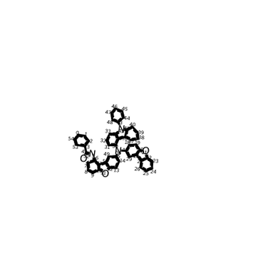 c1ccc(-c2nc3c(ccc4oc5ccc(N(c6ccc7oc8ccccc8c7c6)c6cccc7c6c6ccccc6n7-c6ccccc6)cc5c43)o2)cc1